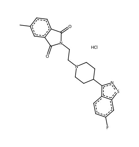 Cc1ccc2c(c1)C(=O)N(CCN1CCC(c3nsc4cc(F)ccc34)CC1)C2=O.Cl